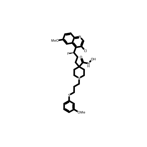 COc1cccc(SCCCN2CCC(CC[C@@H](F)c3c(Cl)cnc4ccc(OC)cc34)(C(=O)NO)CC2)c1